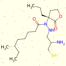 CCC[C@@]1(N(NCC(N)CS)C(=O)CCCC[C@@H](C)CC)CCOC1=O